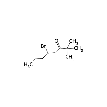 CCCC(Br)CC(=O)C(C)(C)C